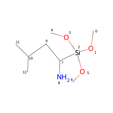 CO[Si](OC)(OC)C(N)CC(C)C